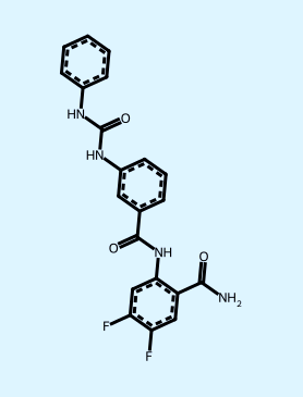 NC(=O)c1cc(F)c(F)cc1NC(=O)c1cccc(NC(=O)Nc2ccccc2)c1